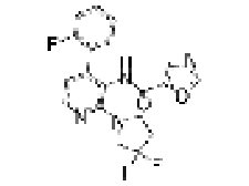 O=C(Nc1c(-c2ccccc2F)ccnc1N1CCC(F)(F)C1)c1cnco1